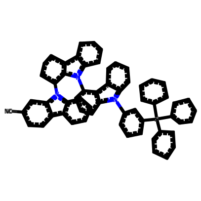 N#Cc1ccc2c3ccccc3n(-c3cccc4c5ccccc5n(-c5cccc6c5c5ccccc5n6-c5cccc([Si](c6ccccc6)(c6ccccc6)c6ccccc6)c5)c34)c2c1